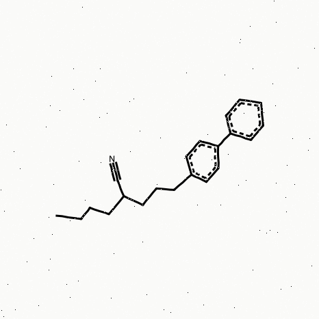 CCCCC(C#N)CCCc1ccc(-c2ccccc2)cc1